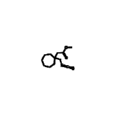 COC(=O)CC1(CN=C=O)CCCCCC1